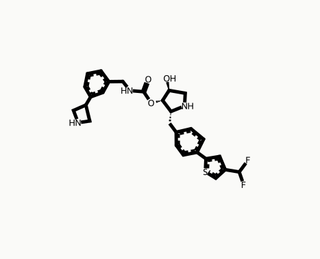 O=C(NCc1cccc(C2CNC2)c1)O[C@@H]1[C@@H](O)CN[C@@H]1Cc1ccc(-c2cc(C(F)F)cs2)cc1